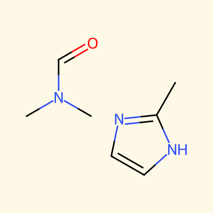 CN(C)C=O.Cc1ncc[nH]1